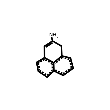 NC1=Cc2cccc3cccc(c23)C1